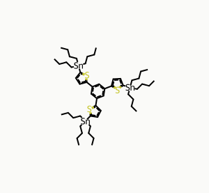 CCC[CH2][Sn]([CH2]CCC)([CH2]CCC)[c]1ccc(-c2cc(-c3cc[c]([Sn]([CH2]CCC)([CH2]CCC)[CH2]CCC)s3)cc(-c3cc[c]([Sn]([CH2]CCC)([CH2]CCC)[CH2]CCC)s3)c2)s1